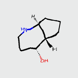 O[C@@H]1CCN[C@H]2CCC[C@H]12